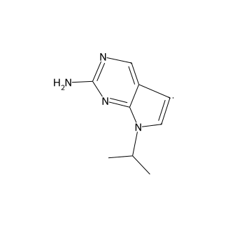 CC(C)n1c[c]c2cnc(N)nc21